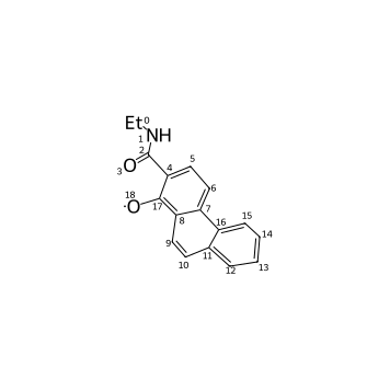 CCNC(=O)c1ccc2c(ccc3ccccc32)c1[O]